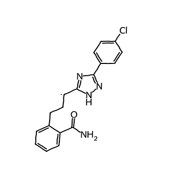 NC(=O)c1ccccc1CC[CH]c1nc(-c2ccc(Cl)cc2)n[nH]1